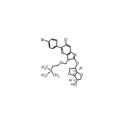 C[Si](C)(C)CCOCn1c(OC2CO[C@@H]3[C@H](O)CO[C@H]23)nc2cc(Cl)c(-c3ccc(Br)cc3)nc21